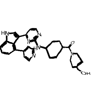 O=C(C1CCC(Nc2nccc(-c3c[nH]c4cccc(-c5ccncc5)c34)n2)CC1)N1CCC(O)CC1